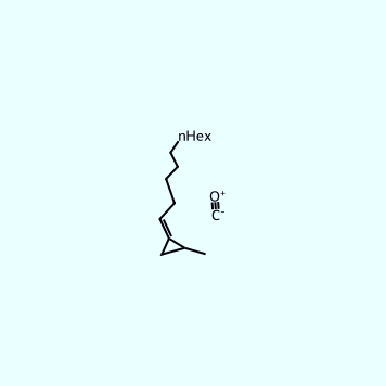 CCCCCCCCCCC=C1CC1C.[C-]#[O+]